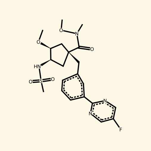 CO[C@H]1C[C@](Cc2cccc(-c3ncc(F)cn3)c2)(C(=O)N(C)OC)C[C@H]1NS(C)(=O)=O